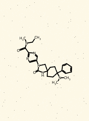 CCN(C)C(=O)c1ncc(N2CC3(CCC(c4ccccc4)(N(C)C)CC3)NC2=O)cn1